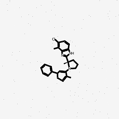 CC1=CCC(c2ccccc2)[C]=C1N1CCC[C@@]1(C)c1nc2c(C)c(Cl)ccc2[nH]1